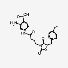 CCc1ccc(CC2SC(=O)N(CCCC(=O)Nc3ccc(C(=O)O)c(N)c3)C2=O)cc1